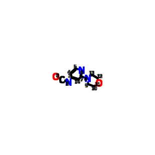 O=C=Nc1ccnc(N2CCOCC2)c1